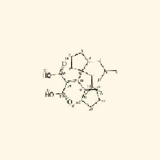 CC(C)CC1CCCC1(CC(C)C)C(=C(C(=O)O)C(=O)O)C1CCCC1